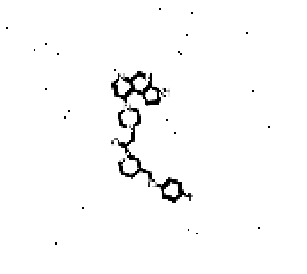 O=C(CN1CCN(c2ccnc3cnc4[nH]ccc4c23)CC1)N1CCCC(COc2ccc(F)cc2)C1